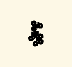 Cc1ccccc1-n1c2ccccc2c2ccc(-c3nc(-c4ccccc4)nc(-c4cccc5c4oc4c(-c6ccccc6)cccc45)n3)cc21